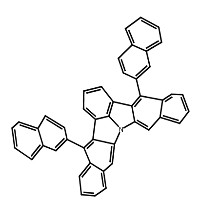 c1ccc2cc(-c3c4ccccc4cc4c3c3cccc5c6c(-c7ccc8ccccc8c7)c7ccccc7cc6n4c35)ccc2c1